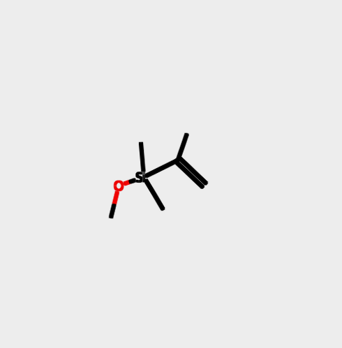 C=C(C)[Si](C)(C)OC